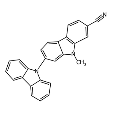 Cn1c2cc(C#N)ccc2c2ccc(-n3c4ccccc4c4ccccc43)cc21